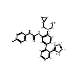 Cc1ccc(NC(=O)Nc2cc(-c3ccccc3-c3nnn[nH]3)ccc2N(CC(C)C)CC2CC2)cc1